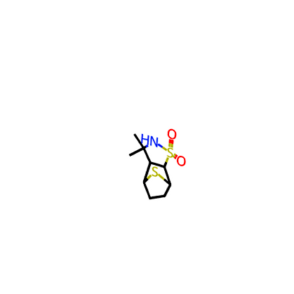 CC1(C)NS(=O)(=O)C2C3CCC(S3)C21